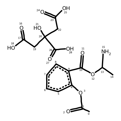 CC(=O)Oc1ccccc1C(=O)OC(C)N.O=C(O)CC(O)(CC(=O)O)C(=O)O